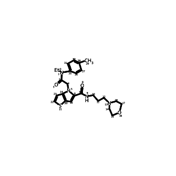 CCN(C(=O)Cn1c(C(=O)NCCCN2CCOCC2)cc2sccc21)c1ccc(C)cc1